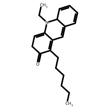 CCCCCCC1=C2C=C3C=CC=CC3N(CC)C2=CCC1=O